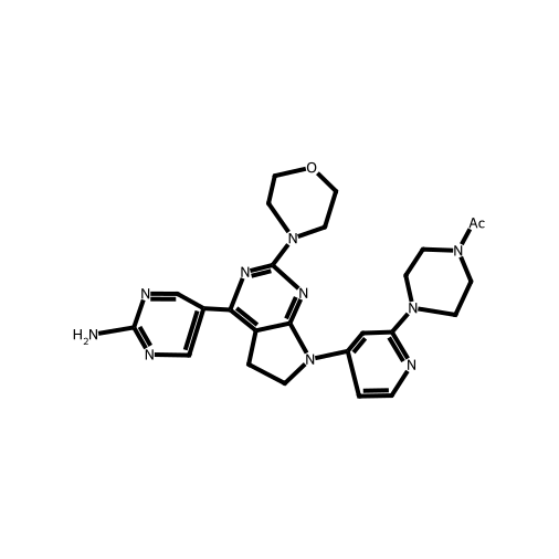 CC(=O)N1CCN(c2cc(N3CCc4c(-c5cnc(N)nc5)nc(N5CCOCC5)nc43)ccn2)CC1